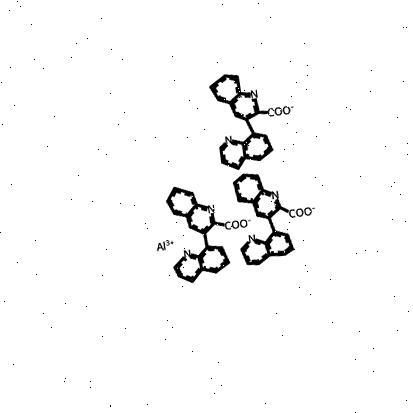 O=C([O-])c1nc2ccccc2cc1-c1cccc2cccnc12.O=C([O-])c1nc2ccccc2cc1-c1cccc2cccnc12.O=C([O-])c1nc2ccccc2cc1-c1cccc2cccnc12.[Al+3]